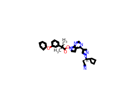 CC(C)(C(=O)On1ccc2c(-c3cnn([C@H](CC#N)C4CCCC4)c3)ncnc21)c1cccc(Oc2ccccc2)c1